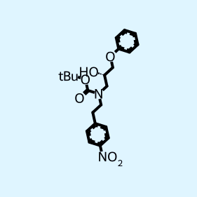 CC(C)(C)OC(=O)N(CCc1ccc([N+](=O)[O-])cc1)C[C@H](O)COc1ccccc1